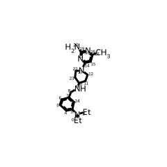 CCN(CC)c1cccc(CNC2CCN(c3cc(C)nc(N)n3)CC2)c1